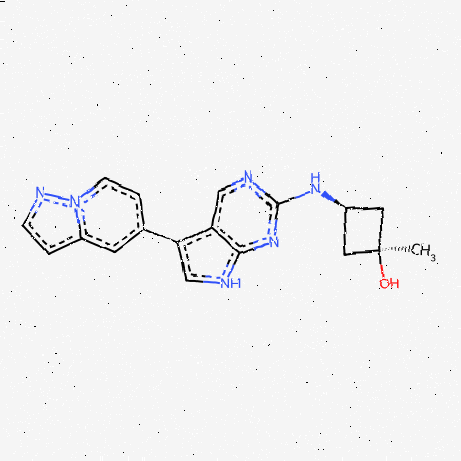 C[C@]1(O)C[C@@H](Nc2ncc3c(-c4ccn5nccc5c4)c[nH]c3n2)C1